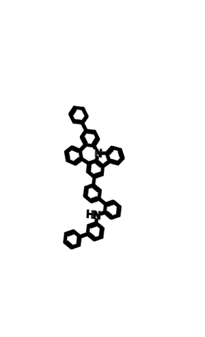 C1=CCCC(c2ccc3c(c2)-c2ccccc2-c2cc(-c4cccc(-c5ccccc5Nc5cccc(-c6ccccc6)c5)c4)cc4c5ccccc5n-3c24)=C1